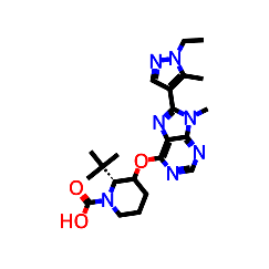 CCn1ncc(-c2nc3c(OC4CCCN(C(=O)O)[C@@H]4C(C)(C)C)ncnc3n2C)c1C